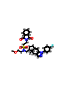 COCCN(C[C@H]1CCC2=Cc3c(cnn3-c3ccc(F)cc3)C[C@@]21C)S(=O)(=O)CCN1C(=O)c2ccccc2C1=O